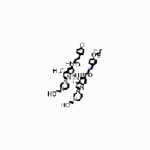 Cc1cc(N2CCCN(CCO)CC2)nc2ccc(NC(=O)/C=C/c3ccc(OC(F)(F)F)cc3)cc12.Cc1cc(N2CCCN(CCO)CC2)nc2ccc(NC(=O)CCc3ccc(Cl)cc3)cc12